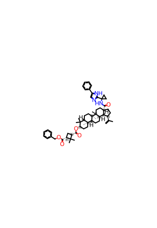 C=C(C)[C@@H]1CC[C@]2(C(=O)NC3(c4ncc(-c5ccccc5)[nH]4)CC3)CC[C@]3(C)[C@H](CC[C@@H]4[C@@]5(C)CC[C@H](OC(=O)[C@H]6C[C@@H](C(=O)OCc7ccccc7)C6(C)C)C(C)(C)[C@@H]5CC[C@]43C)[C@@H]12